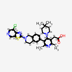 Cc1nc(C)c(-c2ccc3c(c2)CCN(c2nc4c(Cl)cncc4s2)C3)c(N2CCC(C)(C)CC2)c1CC(=O)O